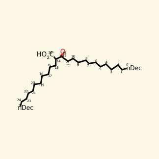 CCCCCCCCCCCCCCCCCCCCCC(=O)C(CCCCCCCCCCCCCCCCCCCC)C(=O)O